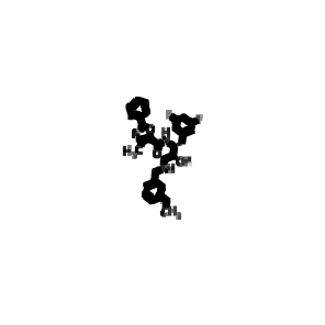 CCc1cccc(CNC[C@H](O)[C@@H](Cc2cc(F)cc(F)c2)NC(=O)c2oc(-c3ccccc3)nc2C)c1